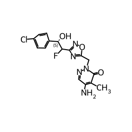 Cc1c(N)cnn(Cc2nc(C(F)[C@@H](O)c3ccc(Cl)cc3)no2)c1=O